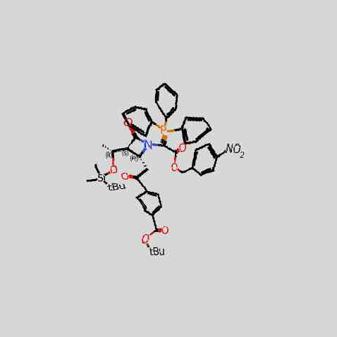 C[C@@H](O[Si](C)(C)C(C)(C)C)[C@H]1C(=O)N(C(C(=O)OCc2ccc([N+](=O)[O-])cc2)=P(c2ccccc2)(c2ccccc2)c2ccccc2)[C@@H]1CC(=O)c1ccc(C(=O)OC(C)(C)C)cc1